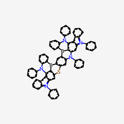 c1ccc(N2c3cc4c(cc3B3c5ccccc5N(c5ccccc5)c5c3c2cc2c5c3ccccc3n2-c2ccccc2)B2c3ccccc3N(c3ccccc3)c3c2c(cc2c3c3ccccc3n2-c2ccccc2)S4)cc1